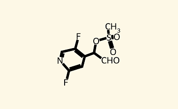 CS(=O)(=O)OC(C=O)c1cc(F)ncc1F